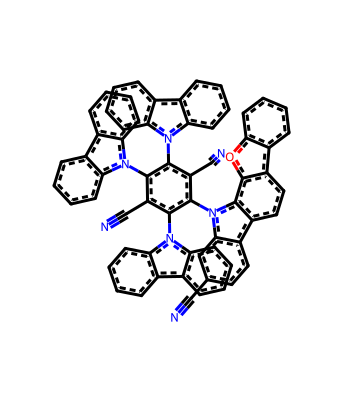 N#Cc1ccc2c3ccc4c5ccccc5oc4c3n(-c3c(C#N)c(-n4c5ccccc5c5ccccc54)c(-n4c5ccccc5c5ccccc54)c(C#N)c3-n3c4ccccc4c4ccccc43)c2c1